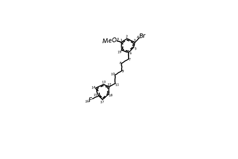 COc1cc(Br)cc(CCCCCc2ccc(F)cc2)c1